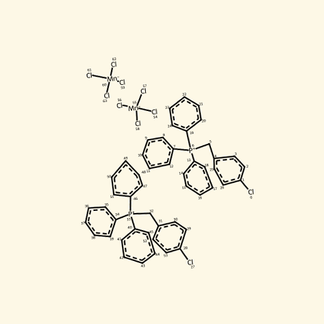 Clc1ccc(C[P+](c2ccccc2)(c2ccccc2)c2ccccc2)cc1.Clc1ccc(C[P+](c2ccccc2)(c2ccccc2)c2ccccc2)cc1.[Cl][Mn-]([Cl])([Cl])[Cl].[Cl][Mn-]([Cl])([Cl])[Cl]